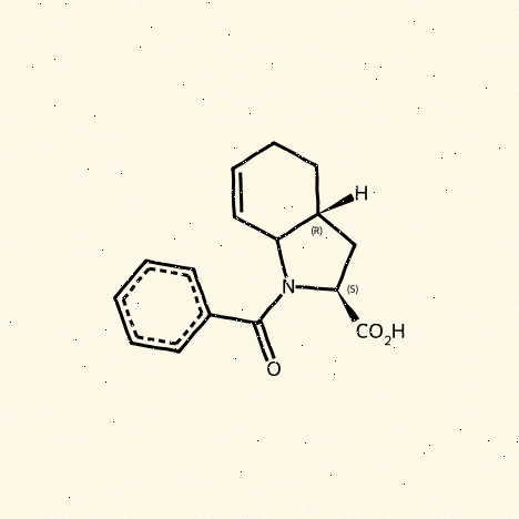 O=C(O)[C@@H]1C[C@H]2CCC=CC2N1C(=O)c1ccccc1